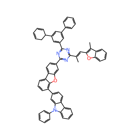 C/C(=C\c1oc2ccccc2c1C)c1nc(-c2cc(-c3ccccc3)cc(C3C=CC=CC3)c2)nc(-c2ccc3c(c2)oc2c(-c4ccc5c6ccccc6n(-c6ccccc6)c5c4)cccc23)n1